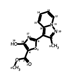 COC(=O)c1sc(-c2c(C)nn3ccccc23)nc1O